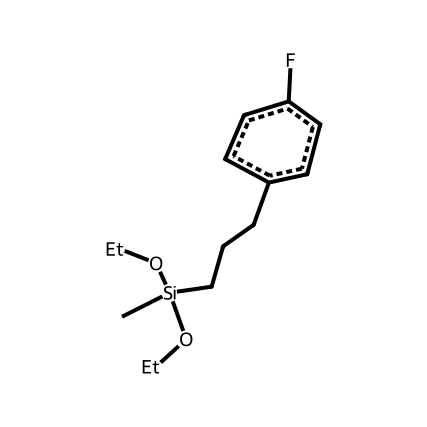 CCO[Si](C)(CCCc1ccc(F)cc1)OCC